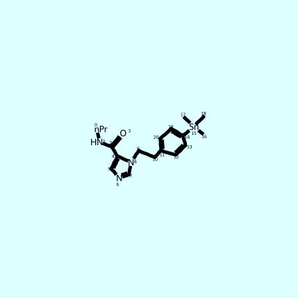 CCCNC(=O)c1cncn1CCc1cc[c]([Sn]([CH3])([CH3])[CH3])cc1